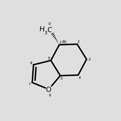 C[C@@H]1CCCC2OC=CC21